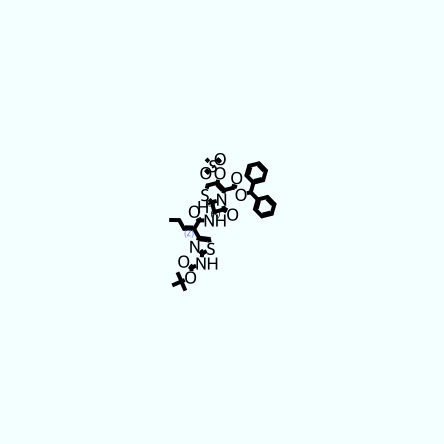 CC/C=C(\C(=O)N[C@@H]1C(=O)N2C(C(=O)OC(c3ccccc3)c3ccccc3)=C(OS(C)(=O)=O)CS[C@@H]12)c1csc(NC(=O)OC(C)(C)C)n1